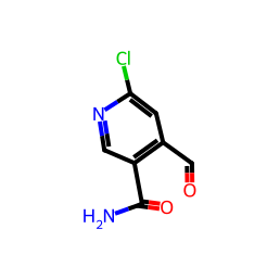 NC(=O)c1cnc(Cl)cc1C=O